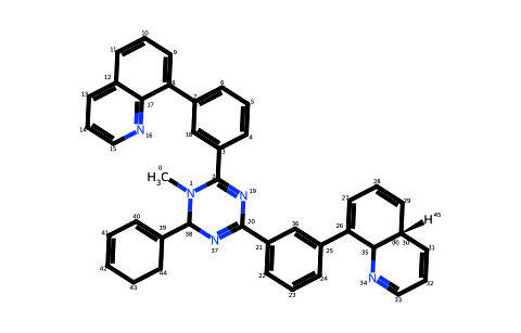 CN1C(c2cccc(-c3cccc4cccnc34)c2)=NC(c2cccc(C3=CC=C[C@@H]4C=CC=NC34)c2)=NC1C1=CC=CCC1